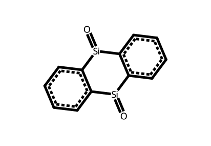 O=[Si]1c2ccccc2[Si](=O)c2ccccc21